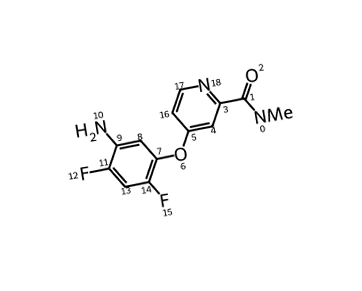 CNC(=O)c1cc(Oc2cc(N)c(F)cc2F)ccn1